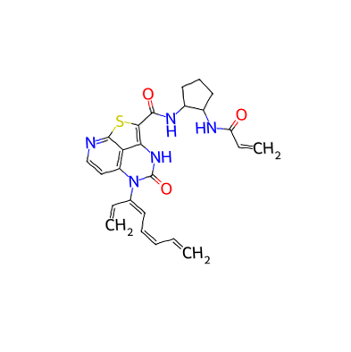 C=C/C=C\C=C(/C=C)N1C(=O)Nc2c(C(=O)NC3CCCC3NC(=O)C=C)sc3nccc1c23